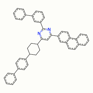 c1ccc(-c2ccc(C3CCC(c4cc(-c5ccc6c(ccc7ccccc76)c5)nc(-c5cccc(-c6ccccc6)c5)n4)CC3)cc2)cc1